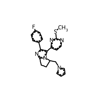 CSc1nccc(-c2c(-c3ccc(F)cc3)nc3n2C(Cn2cccc2)CC3)n1